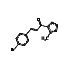 Cn1cccc1C(=O)/C=C/c1ccc(Br)cc1